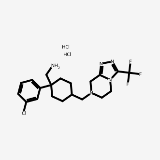 Cl.Cl.NCC1(c2cccc(Cl)c2)CCC(CN2CCn3c(nnc3C(F)(F)F)C2)CC1